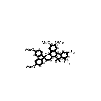 COc1ccc(C2(c3ccc(OC)cc3)C=Cc3c4c(c5cc(OC)c(OC)cc5c3O2)-c2cc(C(F)(F)F)cc(C(F)(F)F)c2C4(C)C)cc1